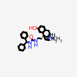 C[C@H]1[C@H]2Cc3ccc(O)cc3[C@]1(CCNC(=O)NC(c1ccccc1)c1ccccc1)CCN2C